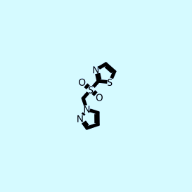 O=S(=O)(Cn1cccn1)c1nccs1